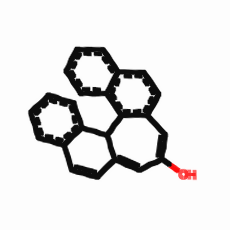 OC1=Cc2ccc3ccccc3c2C2C(=C1)C=Cc1ccccc12